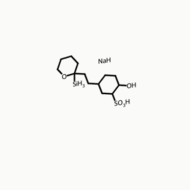 O=S(=O)(O)C1CC(CCC2([SiH3])CCCCO2)CCC1O.[NaH]